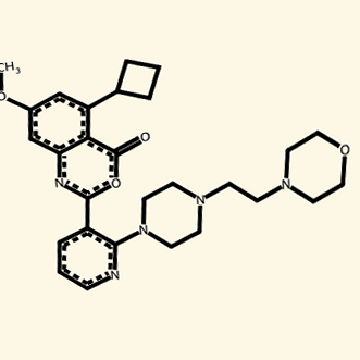 COc1cc(C2CCC2)c2c(=O)oc(-c3cccnc3N3CCN(CCN4CCOCC4)CC3)nc2c1